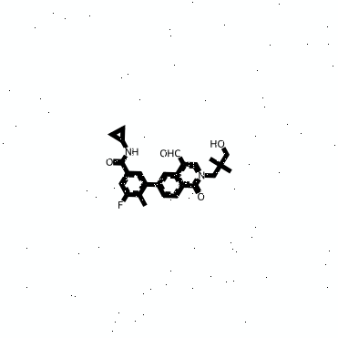 Cc1c(F)cc(C(=O)NC2CC2)cc1-c1ccc2c(=O)n(CC(C)(C)CO)cc(C=O)c2c1